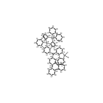 CC1(C)c2ccccc2-c2c(N(c3ccc4c(c3)C3(c5ccccc5-4)c4ccccc4C(c4ccccc4)(c4ccccc4)c4ccccc43)c3ccc4c5ccccc5c5ccccc5c4c3)cccc21